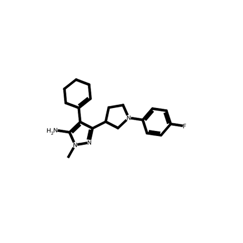 Cn1nc(C2CCN(c3ccc(F)cc3)C2)c(C2=CCCCC2)c1N